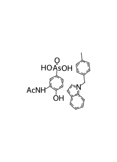 CC(=O)Nc1cc([As](=O)(O)O)ccc1O.Cc1ccc(Cn2ccc3ccccc32)cc1